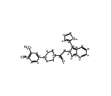 Cc1cc(N2CCN(C(=O)Cn3nc4ncccc4c3-c3ncco3)CC2)ccc1Cl